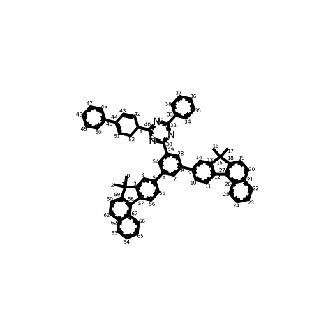 CC1(C)c2cc(-c3cc(-c4ccc5c(c4)C(C)(C)c4ccc6ccccc6c4-5)cc(-c4nc(-c5ccccc5)nc(C5C=CC(c6ccccc6)=CC5)n4)c3)ccc2-c2c1ccc1ccccc21